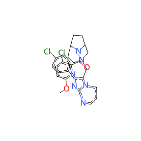 COc1ccc(Cl)c(C(=O)N2C3CCC2CN(Cc2c(-c4ccc(Cl)cc4)nc4ncccn24)CC3)n1